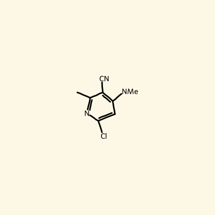 CNc1cc(Cl)nc(C)c1C#N